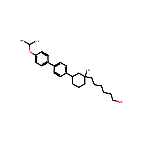 CCCC(CCC)Oc1ccc(-c2ccc(C3CCCC(C#N)(CCCCCCO)C3)cc2)cc1